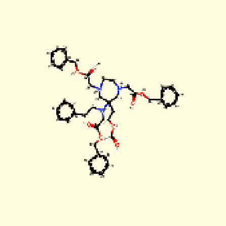 O=COCCC1(N(CCc2ccccc2)CC(=O)OCc2ccccc2)CN(CC(=O)OCc2ccccc2)CCN(CC(=O)OCc2ccccc2)C1